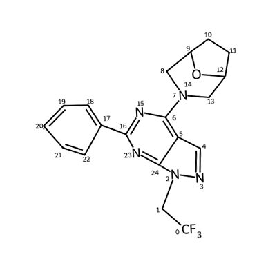 FC(F)(F)Cn1ncc2c(N3CC4CCC(C3)O4)nc(-c3cc[c]cc3)nc21